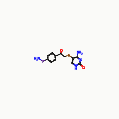 N[I]c1ccc(C(=O)CSc2c[nH]c(=O)nc2N)cc1